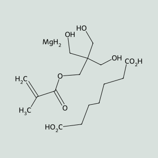 C=C(C)C(=O)OCC(CO)(CO)CO.O=C(O)CCCCCC(=O)O.[MgH2]